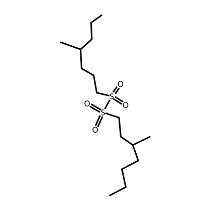 CCCCC(C)CCS(=O)(=O)S(=O)(=O)CCCC(C)CCC